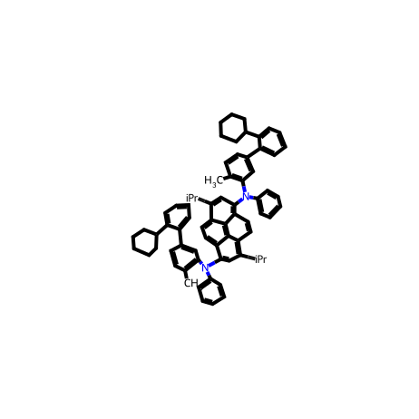 Cc1ccc(-c2ccccc2C2CCCCC2)cc1N(c1ccccc1)c1cc(C(C)C)c2ccc3c(N(c4ccccc4)c4cc(-c5ccccc5C5CCCCC5)ccc4C)cc(C(C)C)c4ccc1c2c43